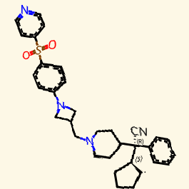 N#C[C@@](c1ccccc1)(C1CCN(CC2CN(c3ccc(S(=O)(=O)c4ccncc4)cc3)C2)CC1)[C@H]1[CH]CCC1